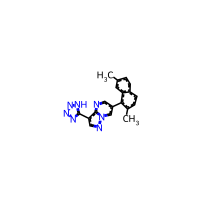 Cc1ccc2ccc(C)c(-c3cnc4c(-c5nnn[nH]5)cnn4c3)c2c1